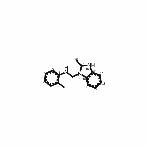 Cc1ccccc1NCN1c2ccccc2NC1C